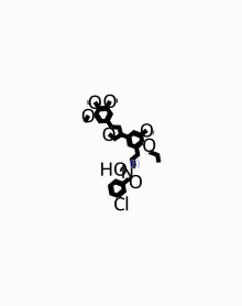 CCCOc1c(C/C=C/N(O)C(=O)c2cccc(Cl)c2)cc(C2COC(c3cc(OC)c(OC)c(OC)c3)C2)cc1OC